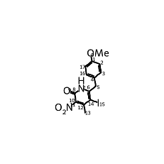 COc1ccc(Cc2[nH]c(=O)c([N+](=O)[O-])c(C)c2I)cc1